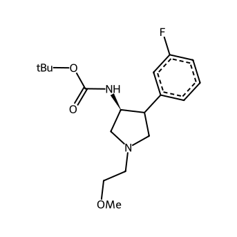 COCCN1CC(c2cccc(F)c2)[C@H](NC(=O)OC(C)(C)C)C1